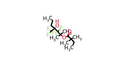 CCCC(O)(C(F)(F)F)C(F)(F)C(C)(C)OC(=O)C(C)(C)CC